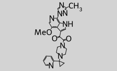 COc1cnc(-n2cnc(C)n2)c2[nH]cc(C(=O)C(=O)N3CCN(C4(c5ccccn5)CC4)CC3)c12